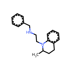 CC1CCc2ccccc2N1CCNCc1ccccc1